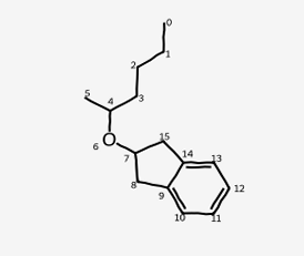 CCCCC(C)OC1Cc2ccccc2C1